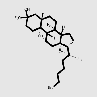 C[C@H](CCCCC(C)(C)C)[C@H]1CC[C@H]2[C@@H]3CC[C@H]4C[C@](O)(C(F)(F)F)CC[C@]4(C)[C@H]3CC[C@]12C